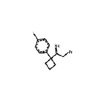 CC(C)CC(=N)C1(c2ccc(I)cc2)CCC1